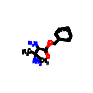 CC(C)(N)C(N)C(=O)OCc1ccccc1